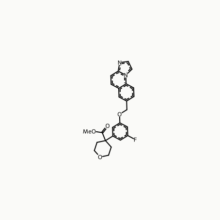 COC(=O)C1(c2cc(F)cc(OCc3ccc4c(ccc5nccn54)c3)c2)CCOCC1